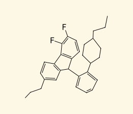 CCCc1ccc2c(c1)C(c1ccccc1C1CCC(CCC)CC1)c1ccc(F)c(F)c1-2